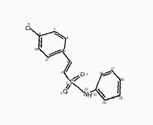 O=S(=O)(C=Cc1ccc(Cl)cc1)Nc1ccccc1